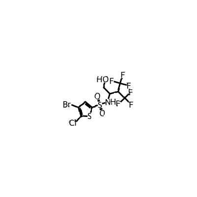 O=S(=O)(NC(CO)C(C(F)(F)F)C(F)(F)F)c1cc(Br)c(Cl)s1